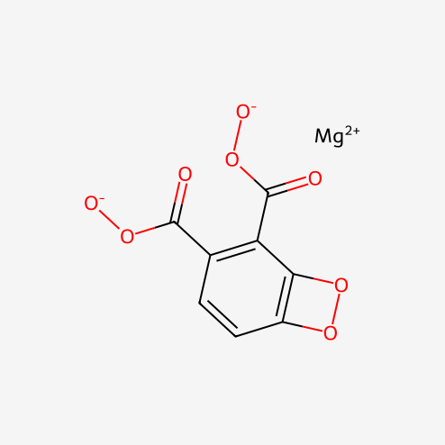 O=C(O[O-])c1ccc2ooc2c1C(=O)O[O-].[Mg+2]